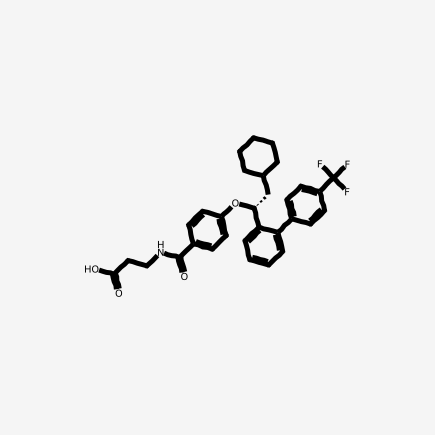 O=C(O)CCNC(=O)c1ccc(O[C@H](CC2CCCCC2)c2ccccc2-c2ccc(C(F)(F)F)cc2)cc1